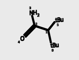 CC(C)(C)C(C(N)=O)C(C)(C)C